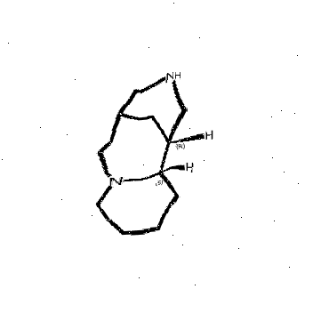 C1CCN2CC3CNC[C@@H](C3)[C@@H]2C1